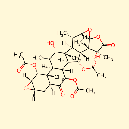 CC(=O)O[C@@H]1[C@H]2[C@H]3[C@H]([C@H](C)[C@H](O)[C@]2(C)[C@H]2[C@H](C)[C@@H]4O[C@]45OC(=O)[C@@](C)(O)[C@]5(C)[C@H]12)[C@]1(C)[C@H](C[C@@H]2O[C@@H]2[C@@H]1OC(C)=O)C(=O)[C@@H]3OC(C)=O